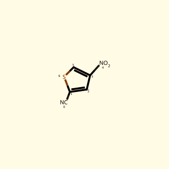 N#Cc1[c]c([N+](=O)[O-])cs1